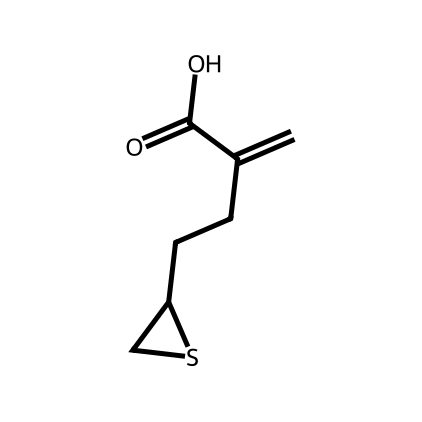 C=C(CCC1CS1)C(=O)O